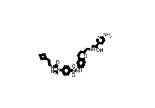 Nc1ccc(C(O)CNCC2CCc3cc(NS(=O)(=O)c4ccc(-n5nnn(CCC6CCC6)c5=O)cc4)ccc3O2)cn1